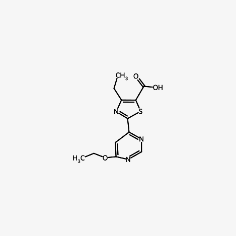 CCOc1cc(-c2nc(CC)c(C(=O)O)s2)ncn1